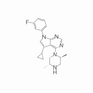 C[C@@H]1CN(c2ncnc3c2c(C2CC2)cn3-c2cccc(F)c2)[C@@H](C)CN1